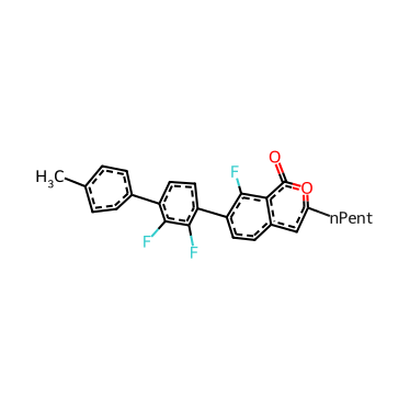 CCCCCc1cc2ccc(-c3ccc(-c4ccc(C)cc4)c(F)c3F)c(F)c2c(=O)o1